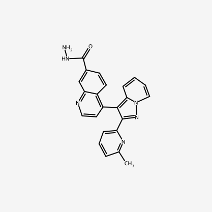 Cc1cccc(-c2nn3ccccc3c2-c2ccnc3cc(C(=O)NN)ccc23)n1